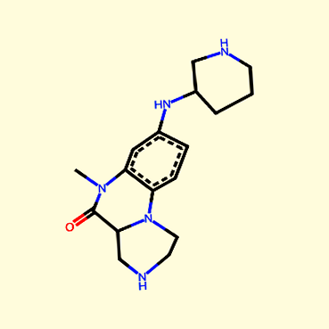 CN1C(=O)C2CNCCN2c2ccc(NC3CCCNC3)cc21